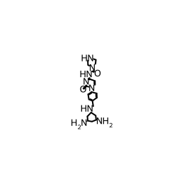 N[C@@H]1C[C@H](N)C[C@H](NCc2ccc(-n3ccc(NC(=O)N4CCNCC4)nc3=O)cc2)C1